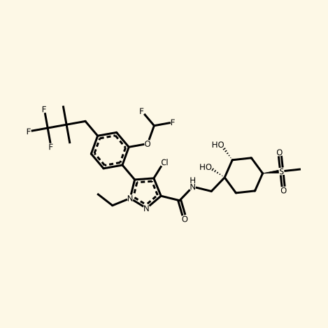 CCn1nc(C(=O)NC[C@]2(O)CC[C@H](S(C)(=O)=O)C[C@H]2O)c(Cl)c1-c1ccc(CC(C)(C)C(F)(F)F)cc1OC(F)F